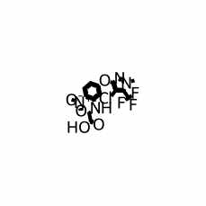 Cn1nc(Oc2ccc([N+](=O)[O-])c(NCC(=O)O)c2)c(Cl)c1C(F)(F)F